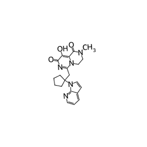 CN1CCn2c(CC3(n4ccc5cccnc54)CCCC3)nc(=O)c(O)c2C1=O